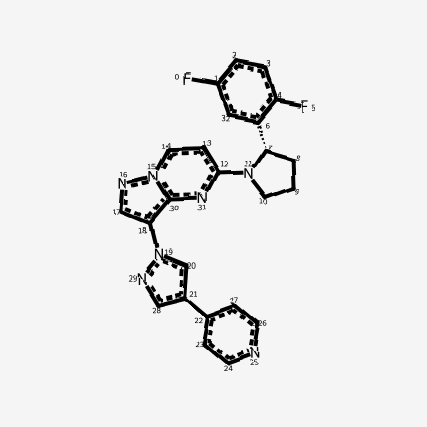 Fc1ccc(F)c([C@@H]2CCCN2c2ccn3ncc(-n4cc(-c5ccncc5)cn4)c3n2)c1